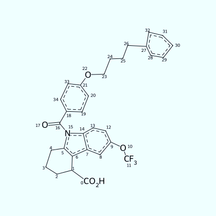 O=C(O)C1CCCc2c1c1cc(OC(F)(F)F)ccc1n2C(=O)c1ccc(OCCCCc2ccccc2)cc1